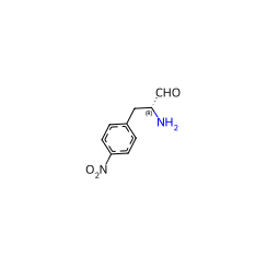 N[C@@H](C=O)Cc1ccc([N+](=O)[O-])cc1